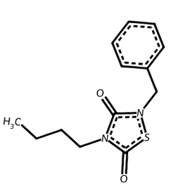 CCCCn1c(=O)sn(Cc2ccccc2)c1=O